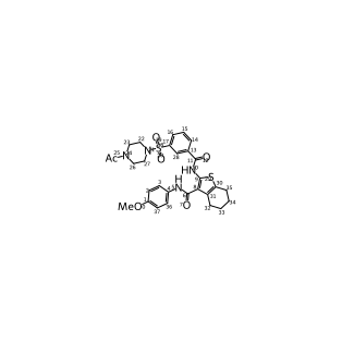 COc1ccc(NC(=O)c2c(NC(=O)c3cccc(S(=O)(=O)N4CCN(C(C)=O)CC4)c3)sc3c2CCCC3)cc1